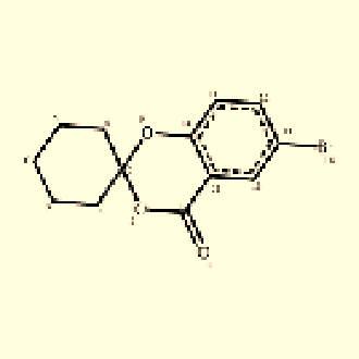 O=C1OC2(CCCCC2)Oc2ccc(Br)cc21